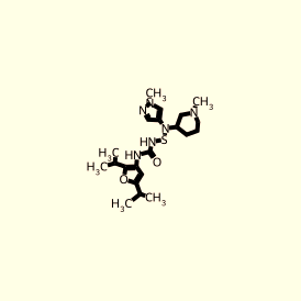 CC(C)c1cc(NC(=O)NSN(c2cnn(C)c2)C2CCCN(C)C2)c(C(C)C)o1